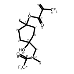 C=C(C(=O)OC1(C)CCC(O)(CN(C)C(=O)C(F)(F)F)CC1)C(F)(F)F